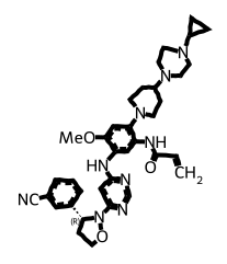 C=CC(=O)Nc1cc(Nc2cc(N3OCC[C@@H]3c3cccc(C#N)c3)ncn2)c(OC)cc1N1CCC(N2CCN(C3CC3)CC2)CC1